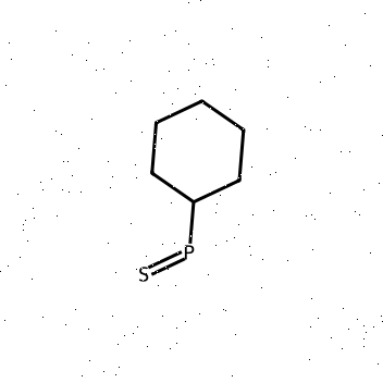 S=PC1CCCCC1